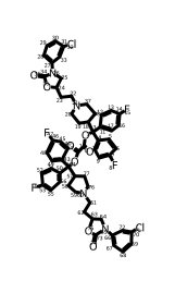 O=C(OC(c1ccc(F)cc1)(c1ccc(F)cc1)C1CCN(CCC2CN(c3cccc(Cl)c3)C(=O)O2)CC1)C(=O)OC(c1ccc(F)cc1)(c1ccc(F)cc1)C1CCN(CCC2CN(c3cccc(Cl)c3)C(=O)O2)CC1